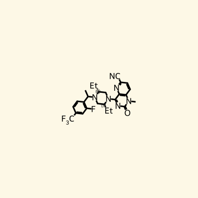 CC[C@H]1CN(C(C)c2ccc(C(F)(F)F)cc2F)[C@H](CC)CN1c1nc(=O)n(C)c2ccc(C#N)nc12